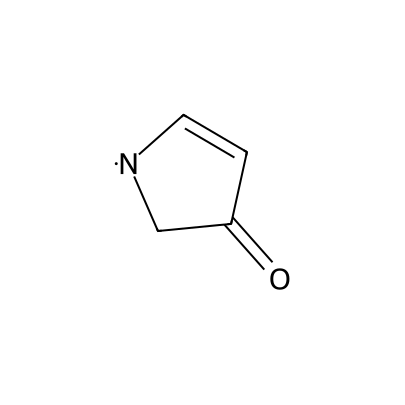 O=C1C=C[N]C1